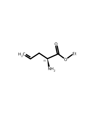 C=CC[C@H](N)C(=O)OCC